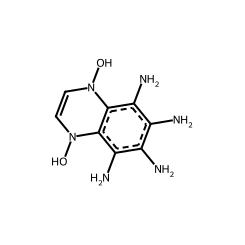 Nc1c(N)c(N)c2c(c1N)N(O)C=CN2O